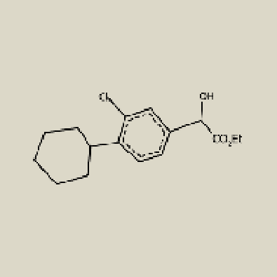 CCOC(=O)C(O)c1ccc(C2CCCCC2)c(Cl)c1